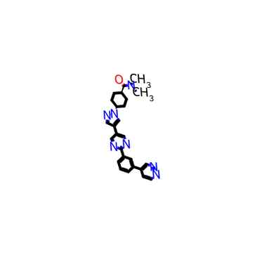 CN(C)C(=O)[C@H]1CC[C@H](n2cc(-c3cnc(-c4cccc(-c5ccnnc5)c4)nc3)cn2)CC1